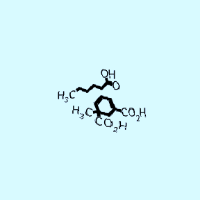 CC1(C(=O)O)C=CC=C(C(=O)O)C1.CCCCCC(=O)O